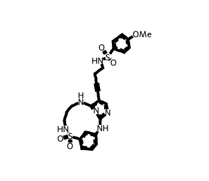 COc1ccc(S(=O)(=O)NCCC#Cc2cnc3nc2NCCCNS(=O)(=O)c2cccc(c2)N3)cc1